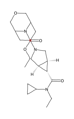 CCOC(=O)N1C2COCC1CC(N1C[C@@H]3[C@H](C1)[C@H]3C(=O)N(CC)C1CC1)C2